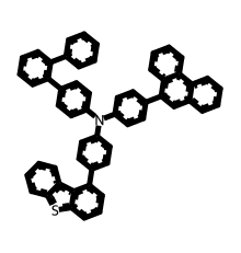 c1ccc(-c2ccccc2-c2ccc(N(c3ccc(-c4cc5ccccc5c5ccccc45)cc3)c3ccc(-c4cccc5sc6ccccc6c45)cc3)cc2)cc1